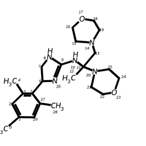 Cc1cc(C)c(C2CNC(NC(C)(CN3CCOCC3)N3CCOCC3)=N2)c(C)c1